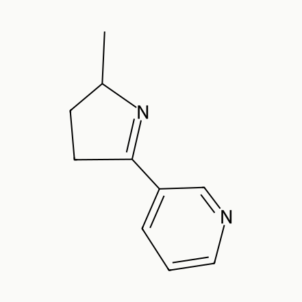 CC1CCC(c2cccnc2)=N1